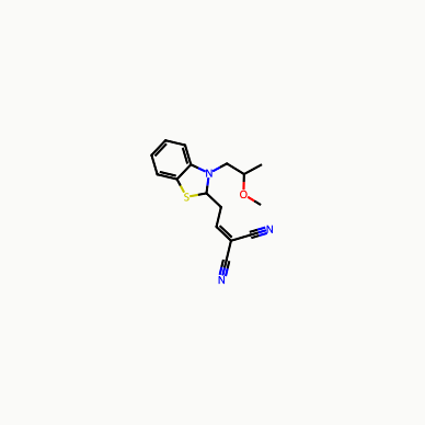 COC(C)CN1c2ccccc2SC1CC=C(C#N)C#N